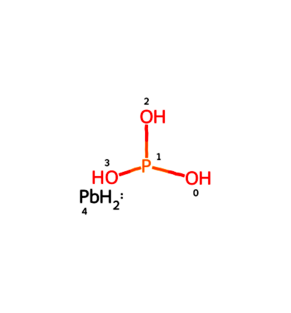 OP(O)O.[PbH2]